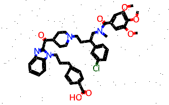 COc1cc(C(=O)N(C)CC(CCN2CCC(C(=O)c3nc4ccccc4n3CCCc3ccc(C(=O)O)cc3)CC2)c2cccc(Cl)c2)cc(OC)c1OC